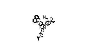 C=CC(=O)N1CCN(c2nc(OCC(C)(C)N(C)C3CC3)nc3c2CCN(c2cccc4cccc(C)c24)C3)C[C@@H]1CC#N